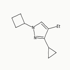 CCc1cn(C2CCC2)nc1C1CC1